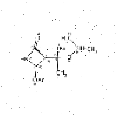 CC(=O)O[C@H]1NC(=O)[C@H]1[C@@](C)(O[SiH](C)C)C(C)(C)C